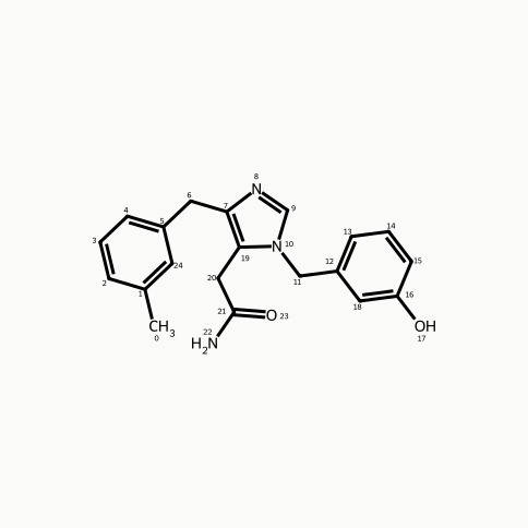 Cc1cccc(Cc2ncn(Cc3cccc(O)c3)c2CC(N)=O)c1